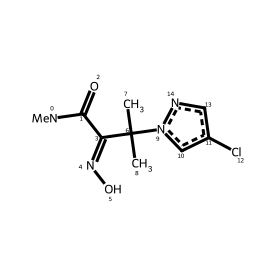 CNC(=O)/C(=N/O)C(C)(C)n1cc(Cl)cn1